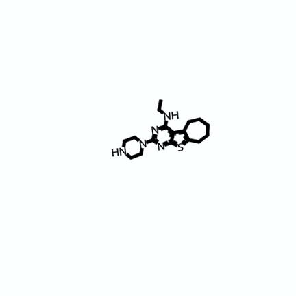 CCNc1nc(N2CCNCC2)nc2sc3c(c12)CCCCC3